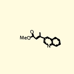 COC(=O)C=C(C)c1cnc2ccccc2c1